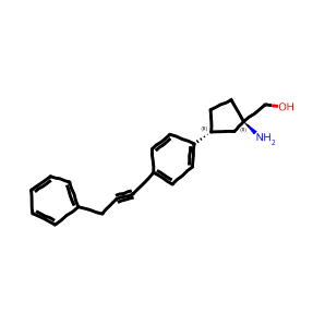 N[C@]1(CO)CC[C@@H](c2ccc(C#CCc3ccccc3)cc2)C1